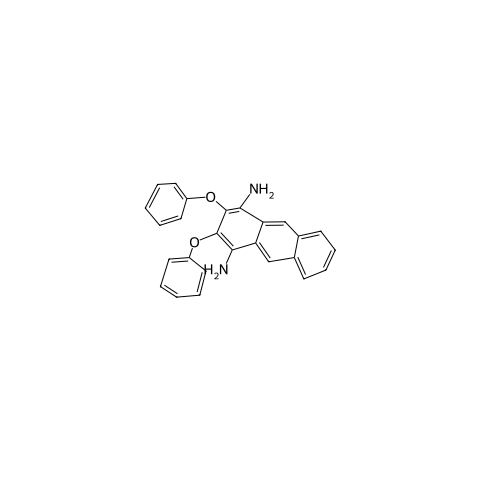 Nc1c(Oc2ccccc2)c(Oc2ccccc2)c(N)c2cc3ccccc3cc12